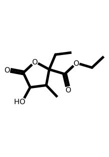 CCOC(=O)C1(CC)OC(=O)C(O)C1C